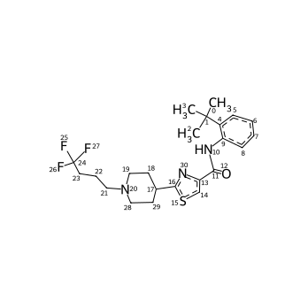 CC(C)(C)c1ccccc1NC(=O)c1csc(C2CCN(CCCC(F)(F)F)CC2)n1